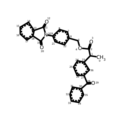 CC(C(=O)OCc1ccc(N2C(=O)c3ccccc3C2=O)cc1)c1cccc(C(=O)c2ccccc2)c1